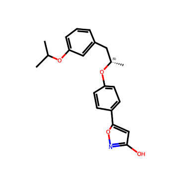 CC(C)Oc1cccc(C[C@H](C)Oc2ccc(-c3cc(O)no3)cc2)c1